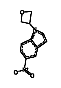 O=[N+]([O-])c1ccc2c(ccn2C2COC2)c1